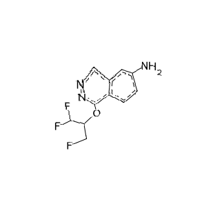 Nc1ccc2c(OC(CF)C(F)F)nncc2c1